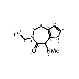 CNC1C(=O)N(CC(C)C)CCc2ccsc21